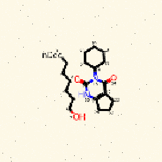 CCCCCCCCCCCCCCCCO.O=c1[nH]c2c(c(=O)n1C1CCCCC1)CCC2